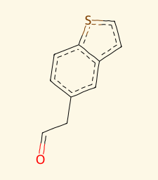 O=CCc1ccc2sccc2c1